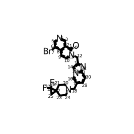 O=c1c2cncc(Br)c2ccn1Cc1cn2cc(CN3CCC4(CC3)CC4(F)F)ccc2n1